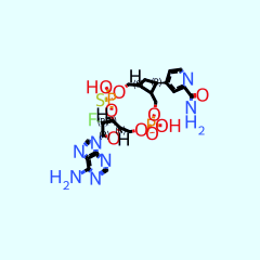 NC(=O)c1cc([C@@H]2C[C@@H]3COP(O)(=S)O[C@H]4[C@@H](F)[C@H](n5cnc6c(N)ncnc65)O[C@@H]4COP(=O)(O)OCC32)ccn1